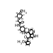 Cc1ccsc1C(=O)c1c[nH]c2ncnc(N[C@H]3CC[C@@H](NC(=O)CN4CCN(C)CC4)CC3)c12